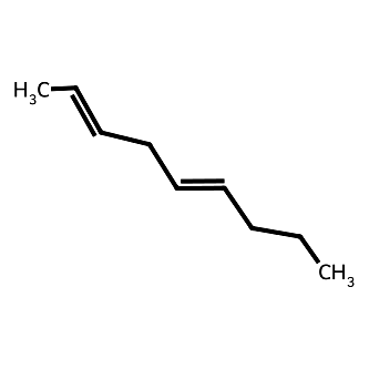 CC=CCC=CCCC